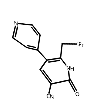 CC(C)Cc1[nH]c(=O)c(C#N)cc1-c1ccncc1